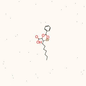 CCCCCCCC(Br)C(OC(=O)c1ccccc1)C(=O)O